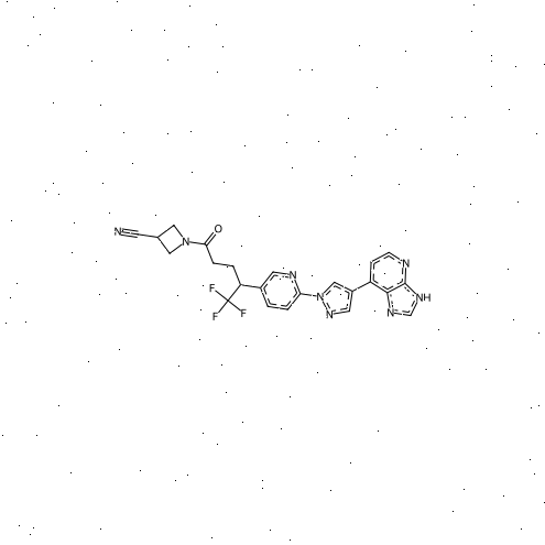 N#CC1CN(C(=O)CCC(c2ccc(-n3cc(-c4ccnc5[nH]cnc45)cn3)nc2)C(F)(F)F)C1